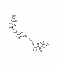 CC(C)(C)c1cc(NC(=O)Nc2ccc(-n3cnc4cc(OCCCCC#Cc5cccc6c5C(=O)N(C5CCC(=O)NC5=O)C6=O)ccc43)cc2)[nH]n1